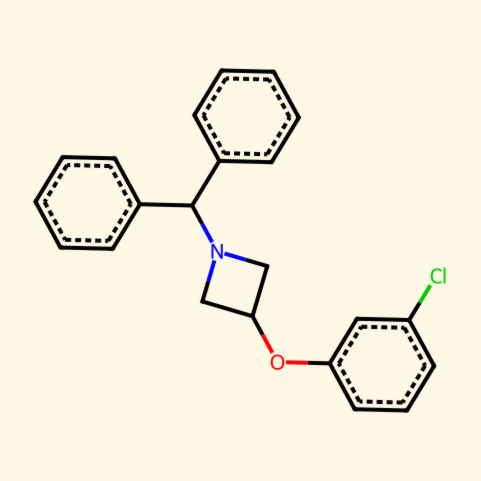 Clc1cccc(OC2CN(C(c3ccccc3)c3ccccc3)C2)c1